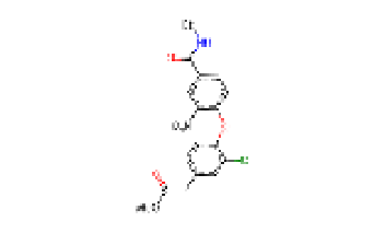 CCNC(=O)c1ccc(Oc2ccc(CC(=O)OC)cc2Cl)c([N+](=O)[O-])c1